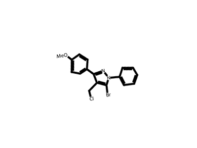 COc1ccc(-c2nn(-c3ccccc3)c(Br)c2CCl)cc1